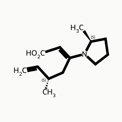 C=C[C@@H](C)CC(=CC(=O)O)N1CCC[C@@H]1C